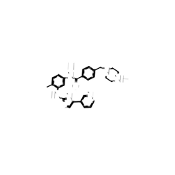 Cc1ccc(NC(=O)c2ccc(CN3CCNCC3)cc2)cc1Nc1nc(-c2cccnc2)cs1